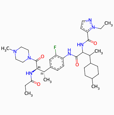 CCC(=O)N[C@@H](C(=O)N1CCN(C)CC1)[C@@H](C)c1ccc(NC(=O)C(NC(=O)c2ccnn2CC)C(C)C2CCC(C)CC2)c(F)c1